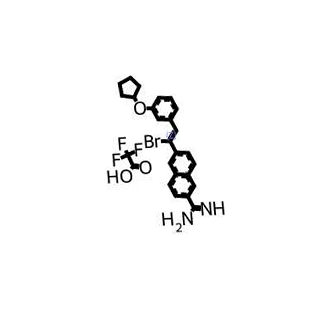 N=C(N)c1ccc2cc(/C(Br)=C/c3cccc(OC4CCCC4)c3)ccc2c1.O=C(O)C(F)(F)F